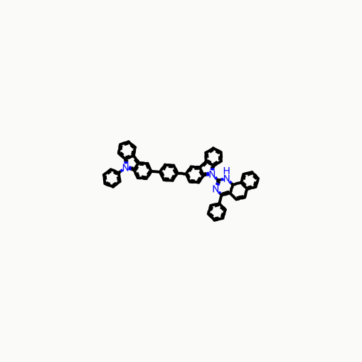 C1=Cc2ccccc2C2NC(n3c4ccccc4c4cc(-c5ccc(-c6ccc7c(c6)c6ccccc6n7-c6ccccc6)cc5)ccc43)=NC(c3ccccc3)=C12